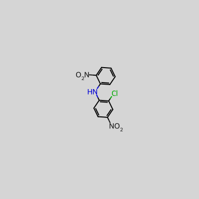 O=[N+]([O-])c1ccc(Nc2ccccc2[N+](=O)[O-])c(Cl)c1